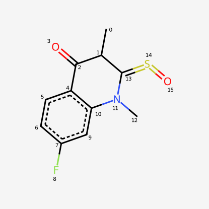 CC1C(=O)c2ccc(F)cc2N(C)C1=S=O